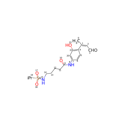 C/C(=C/C=O)c1ccc(NC(=O)CCCCNS(=O)(=O)C(C)C)cc1O